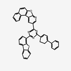 C1=C(c2ccccc2)CCC(c2nc(-c3cnc4oc5ccc6ccccc6c5c4c3)nc(-c3cccc4c3sc3ccccc34)n2)=C1